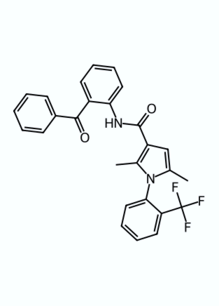 Cc1cc(C(=O)Nc2ccccc2C(=O)c2ccccc2)c(C)n1-c1ccccc1C(F)(F)F